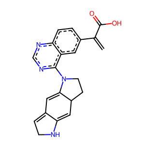 C=C(C(=O)O)c1ccc2ncnc(N3CCC4C=C5NCC=C5C=C43)c2c1